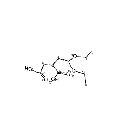 CCOC(CC(CC(=O)O)C(=O)O)OCC